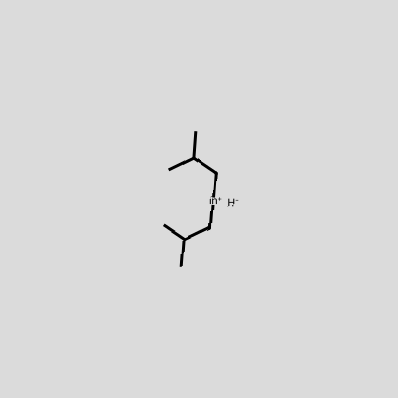 CC(C)[CH2][In+][CH2]C(C)C.[H-]